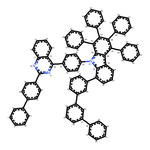 c1ccc(-c2ccc(-c3nc(-c4ccc(-n5c6c(-c7cccc(-c8cccc(-c9ccccc9)c8)c7)cccc6c6c(-c7ccccc7)c(-c7ccccc7)c(-c7ccccc7)c(-c7ccccc7)c65)cc4)c4ccccc4n3)cc2)cc1